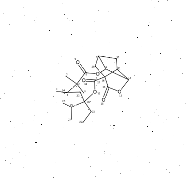 CCC(C)(C)C(=O)OC1C2CC3C1OC(=O)C3(C(=O)OC(CC)(CC)C(C)C)C2